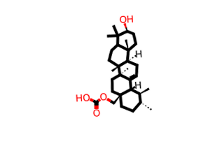 C[C@H]1[C@H](C)CC[C@]2(COC(=O)O)CC[C@]3(C)C(=CC[C@@H]4[C@@]5(C)CC[C@H](O)C(C)(C)C5CC[C@]43C)[C@H]12